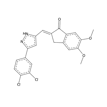 COc1cc2c(cc1OC)C(=O)/C(=C/c1cc(-c3ccc(Cl)c(Cl)c3)n[nH]1)C2